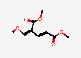 COC=C(C=CC(=O)OC)C(=O)OC